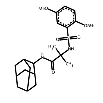 COc1ccc(OC)c(S(=O)(=O)NC(C)(C)C(=O)NC2C3CC4CC(C3)CC2C4)c1